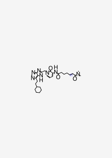 CN(C)C(=O)/C=C/CCCC(=O)Nc1cccn(Cc2nc3ncnc(CCC4CCCCC4)c3[nH]2)c1=O